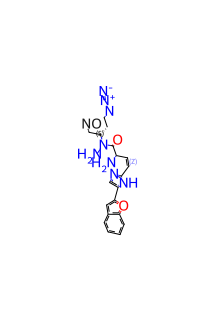 [N-]=[N+]=NCC[C@@H](CN=O)N(N)C(=O)C(N)/C=C\c1ncc(-c2cc3ccccc3o2)[nH]1